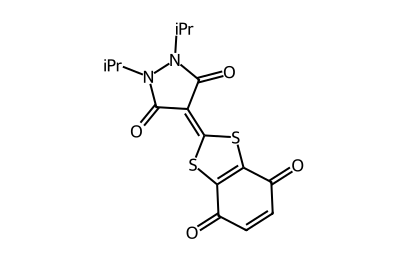 CC(C)N1C(=O)C(=C2SC3=C(S2)C(=O)C=CC3=O)C(=O)N1C(C)C